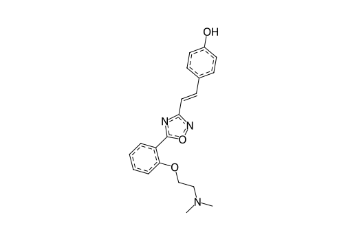 CN(C)CCOc1ccccc1-c1nc(C=Cc2ccc(O)cc2)no1